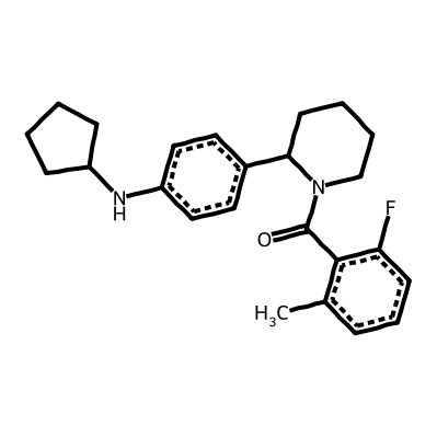 Cc1cccc(F)c1C(=O)N1CCCCC1c1ccc(NC2CCCC2)cc1